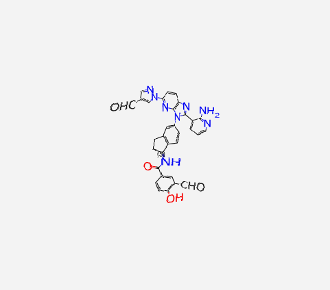 Nc1ncccc1-c1nc2ccc(-n3cc(C=O)cn3)nc2n1-c1ccc2c(c1)CC[C@@H]2NC(=O)c1ccc(O)c(C=O)c1